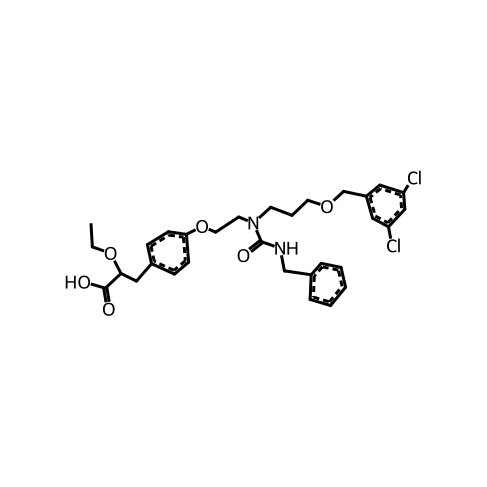 CCOC(Cc1ccc(OCCN(CCCOCc2cc(Cl)cc(Cl)c2)C(=O)NCc2ccccc2)cc1)C(=O)O